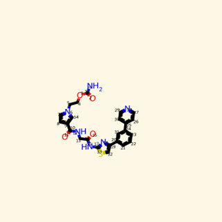 NC(=O)OCCn1ccc(C(=O)NCC(=O)Nc2nc(-c3cccc(-c4ccncc4)c3)cs2)c1